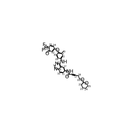 Cc1cc(Nc2ncnc3ccc(NC(=O)C#CCCOC4CCCCO4)cc23)ccc1Oc1ccn(C(F)F)c(=O)c1